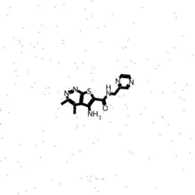 Cc1nnc2sc(C(=O)NCc3cnccn3)c(N)c2c1C